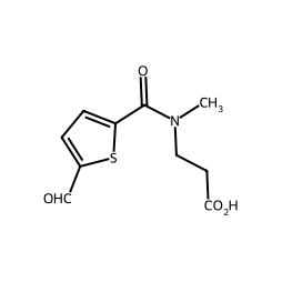 CN(CCC(=O)O)C(=O)c1ccc(C=O)s1